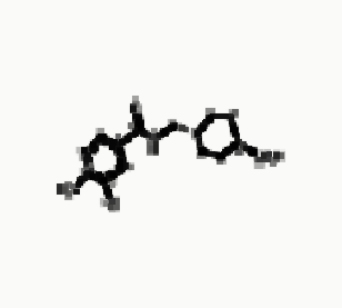 Nc1ncc(C(=O)NC[C@H]2CC[C@H](C(=O)O)CC2)cc1Cl